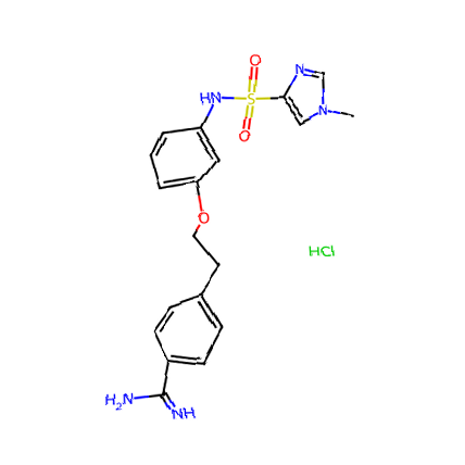 Cl.Cn1cnc(S(=O)(=O)Nc2cccc(OCCc3ccc(C(=N)N)cc3)c2)c1